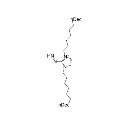 CCCCCCCCCCCCCCCCn1cc[n+](CCCCCCCCCCCCCCCC)c1N=N